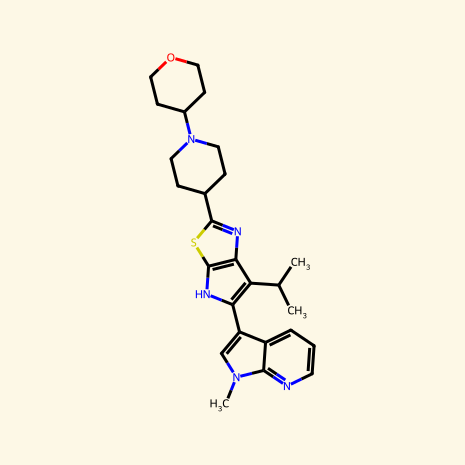 CC(C)c1c(-c2cn(C)c3ncccc23)[nH]c2sc(C3CCN(C4CCOCC4)CC3)nc12